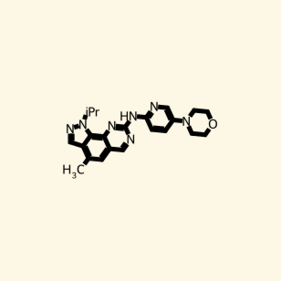 Cc1cc2cnc(Nc3ccc(N4CCOCC4)cn3)nc2c2c1cnn2C(C)C